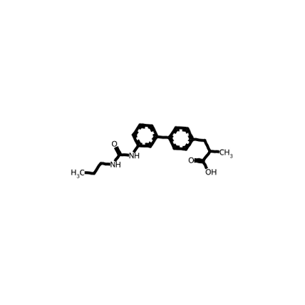 CCCNC(=O)Nc1cccc(-c2ccc(CC(C)C(=O)O)cc2)c1